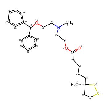 CN(CCOC(=O)CCCC[C@]1(C)CCSS1)CCOC(c1ccccc1)c1ccccc1